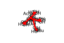 CC(=O)NC1C(OCCOCCNC(=O)CCC(NC(=O)CCC(NC(=O)CCCCCCCCCCC(=O)NC[C@H]2C[C@H](OC(C)(C)C)[C@@H](CO)O2)C(=O)NCCOCCOC2OC(CO)C(O)C(O)C2NC(C)=O)C(=O)NCCOCCOC2OC(CO)C(O)C(O)C2NC(C)=O)OCC(CO)C(O)C1O